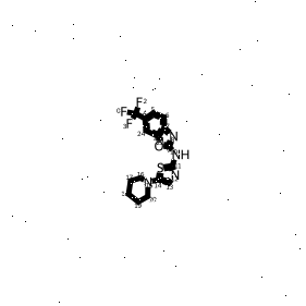 FC(F)(F)c1ccc2nc(Nc3ncc(N4CCCCC4)s3)oc2c1